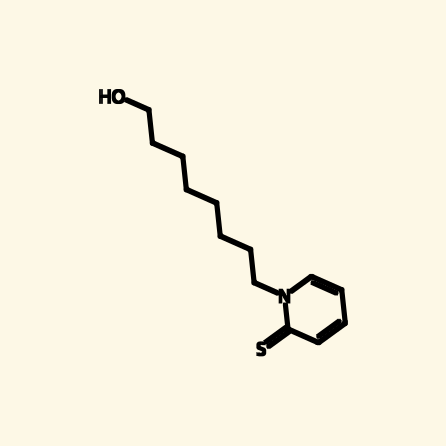 OCCCCCCCCn1ccccc1=S